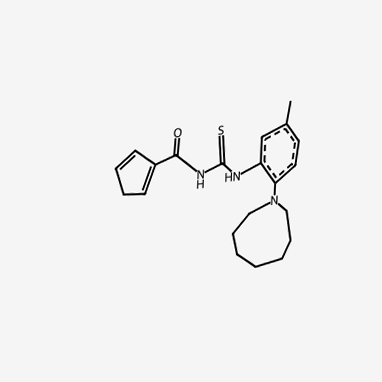 Cc1ccc(N2CCCCCCC2)c(NC(=S)NC(=O)C2=CCC=C2)c1